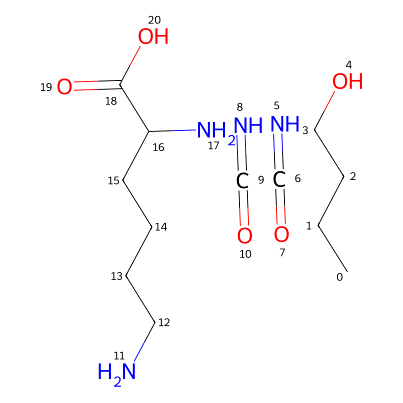 CCCCO.N=C=O.N=C=O.NCCCCC(N)C(=O)O